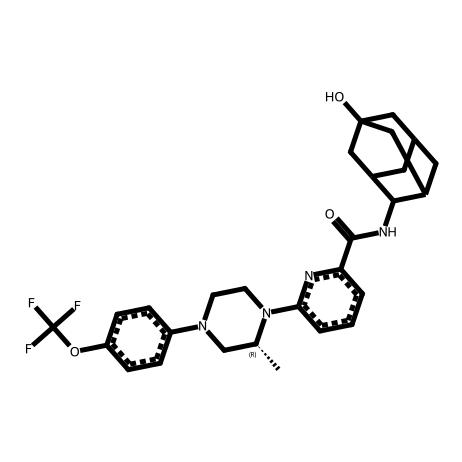 C[C@@H]1CN(c2ccc(OC(F)(F)F)cc2)CCN1c1cccc(C(=O)NC2C3CC4CC2CC(O)(C4)C3)n1